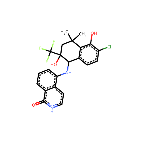 CC1(C)CC(O)(C(F)(F)F)C(Nc2cccc3c(=O)[nH]ccc23)c2ccc(Cl)c(O)c21